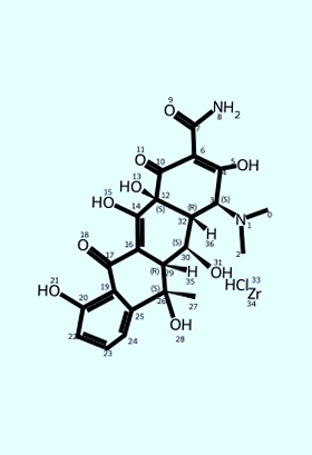 CN(C)[C@@H]1C(O)=C(C(N)=O)C(=O)[C@@]2(O)C(O)=C3C(=O)c4c(O)cccc4[C@@](C)(O)[C@H]3[C@H](O)[C@@H]12.Cl.[Zr]